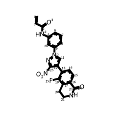 C=CC(=O)Nc1cccc(-n2cc(-c3ccc4c(c3F)CCNC4=O)c([N+](=O)[O-])n2)c1